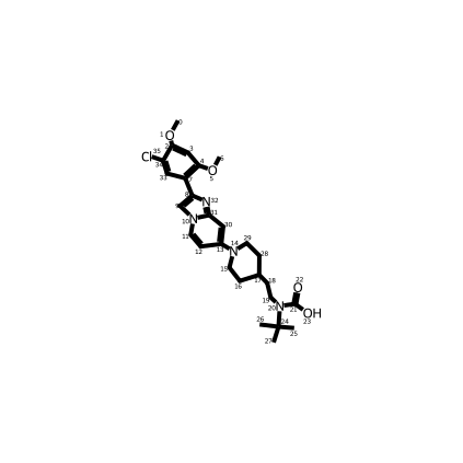 COc1cc(OC)c(-c2cn3ccc(N4CCC(CCN(C(=O)O)C(C)(C)C)CC4)cc3n2)cc1Cl